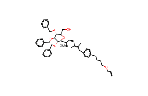 C=CCOCCCCc1ccc(C/C(C)=C(C)/C=C\C(=C)[C@]2(OC)O[C@H](CO)[C@@H](OCc3ccccc3)[C@H](OCc3ccccc3)[C@H]2OCc2ccccc2)cc1